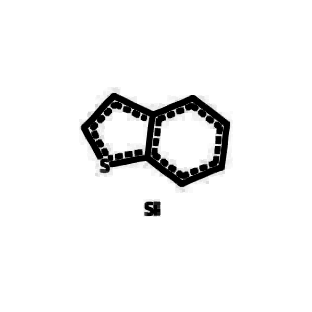 [Si].c1ccc2sccc2c1